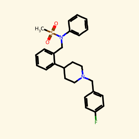 CS(=O)(=O)N(Cc1ccccc1C1CCN(Cc2ccc(F)cc2)CC1)c1ccccc1